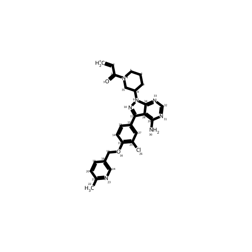 C=CC(=O)N1CCCC(n2nc(-c3ccc(OCc4ccc(C)nc4)c(Cl)c3)c3c(N)ncnc32)C1